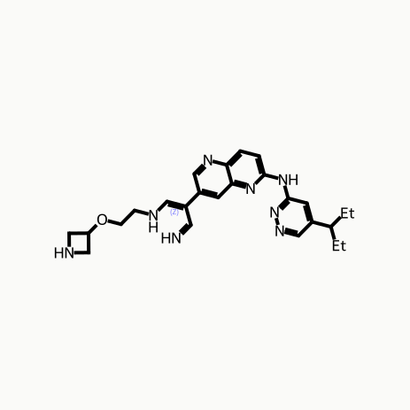 CCC(CC)c1cnnc(Nc2ccc3ncc(/C(C=N)=C/NCCOC4CNC4)cc3n2)c1